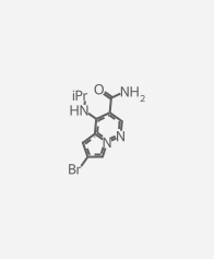 CC(C)Nc1c(C(N)=O)cnn2cc(Br)cc12